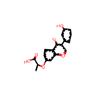 CC(Oc1ccc2c(=O)c(-c3cccc(O)c3)coc2c1)C(=O)O